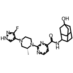 C[C@@H]1CN(c2c[nH]nc2F)CCN1c1nccc(C(=O)NC2C3CC4CC2CC(O)(C4)C3)n1